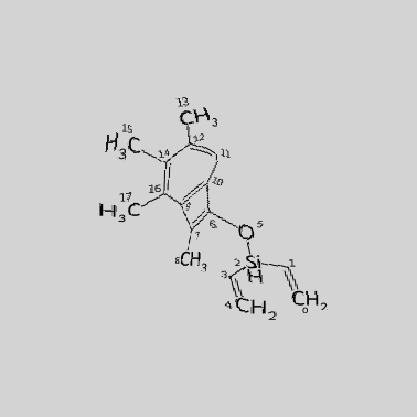 C=C[SiH](C=C)OC1=C(C)c2c1cc(C)c(C)c2C